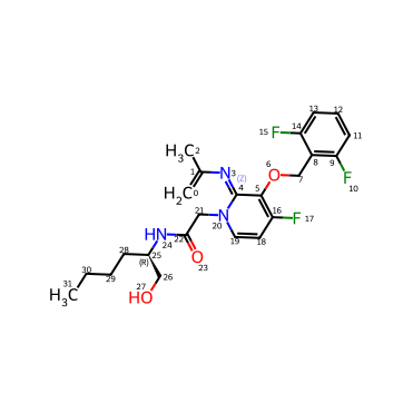 C=C(C)/N=c1/c(OCc2c(F)cccc2F)c(F)ccn1CC(=O)N[C@@H](CO)CCCC